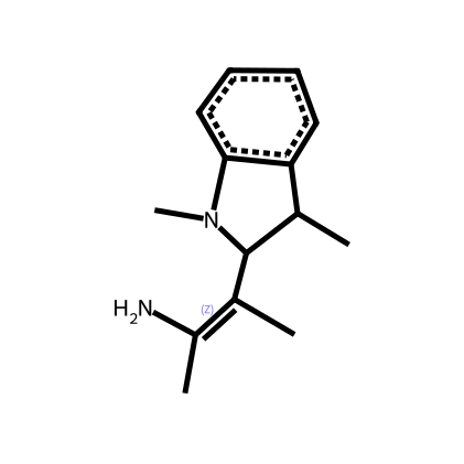 C/C(N)=C(\C)C1C(C)c2ccccc2N1C